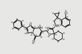 O=C(NCC1(c2ccccc2Cl)CC1)C1(OCc2cc(=O)n3nc(-c4ccccc4)nc3[nH]2)CCCCC1